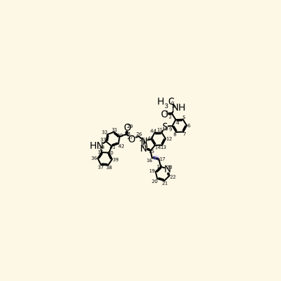 CNC(=O)c1ccccc1Sc1ccc2c(/C=C/c3ccccn3)nn(COC(=O)c3ccc4[nH]c5ccccc5c4c3)c2c1